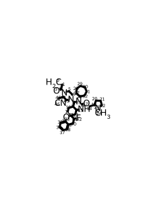 C=CC(=O)N1CCN(C2C3CC[C@@]4(CC3NC(OCC3CCCN3C)N2C2CCCCCC2)Oc2ccccc2CC4F)CC1CC#N